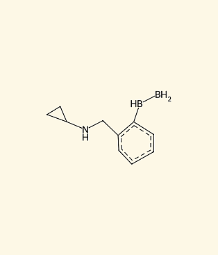 BBc1ccccc1CNC1CC1